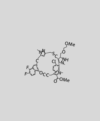 COCCOCC1NN(C)C2=C1CSCc1cc(n(C)n1)CCc1cc(c3ccc(F)c(F)c3c1)OCCCc1c(C(=O)OC)n(C)c3c2c(Cl)ccc13